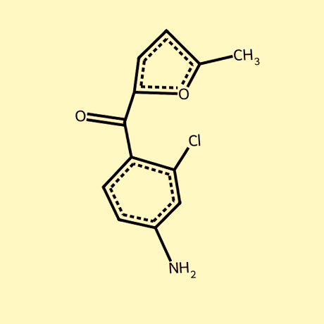 Cc1ccc(C(=O)c2ccc(N)cc2Cl)o1